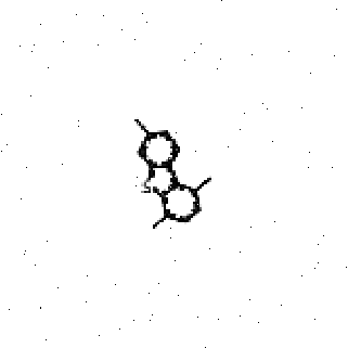 Cc1ccc2c(c1)sc1c(C)ccc(C)c12